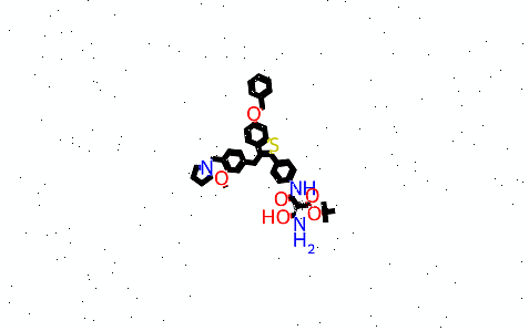 COc1cc(Cc2c(-c3ccc(NC(=O)[C@@H](C(=O)OC(C)(C)C)C(N)O)cc3)sc3cc(OCc4ccccc4)ccc23)ccc1CN1CCCC1